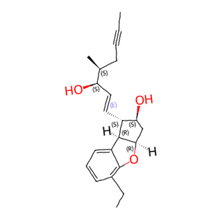 CC#CC[C@H](C)[C@H](O)/C=C/[C@H]1[C@@H]2c3cccc(CC)c3O[C@@H]2C[C@@H]1O